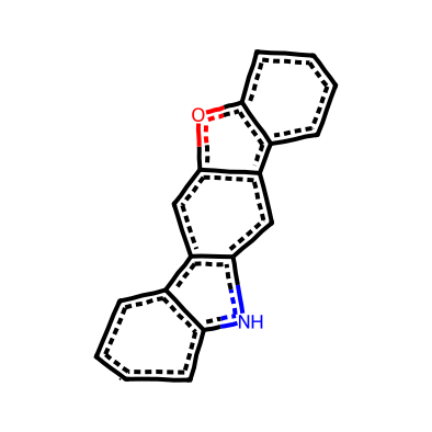 [c]1ccc2c(c1)[nH]c1cc3c(cc12)oc1ccccc13